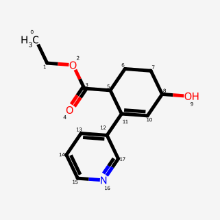 CCOC(=O)C1CCC(O)C=C1c1cccnc1